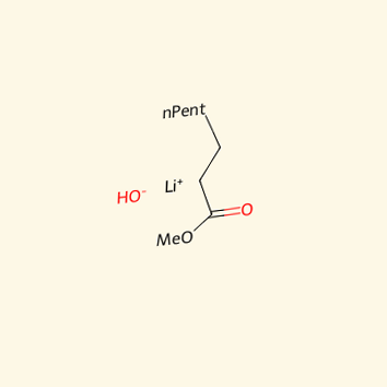 CCCCCCCC(=O)OC.[Li+].[OH-]